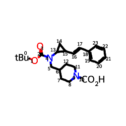 CC(C)(C)OC(=O)N(CC1CCN(C(=O)O)CC1)C1CC1C=Cc1ccccc1